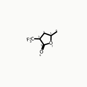 CC1CC(C(F)(F)F)C(=O)O1